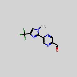 Cn1cc(C(F)(F)F)nc1-c1cnc(C=O)cn1